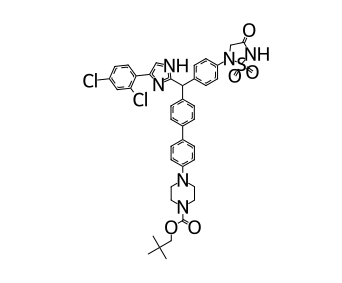 CC(C)(C)COC(=O)N1CCN(c2ccc(-c3ccc(C(c4ccc(N5CC(=O)NS5(=O)=O)cc4)c4nc(-c5ccc(Cl)cc5Cl)c[nH]4)cc3)cc2)CC1